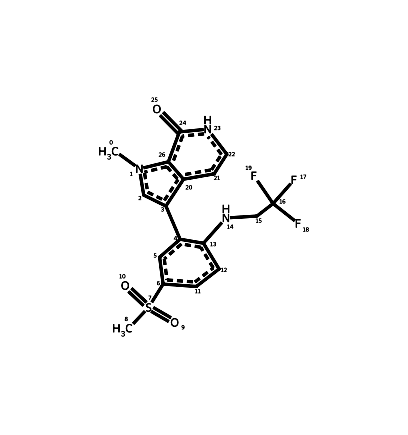 Cn1cc(-c2cc(S(C)(=O)=O)ccc2NCC(F)(F)F)c2cc[nH]c(=O)c21